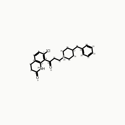 O=C1CCc2ccc(Cl)c(C(=O)CCN3CCC(Cc4ccccc4)CC3)c2N1